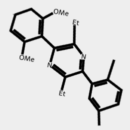 CCc1nc(-c2cc(C)ccc2C)c(CC)nc1C1=C(OC)C[CH]C=C1OC